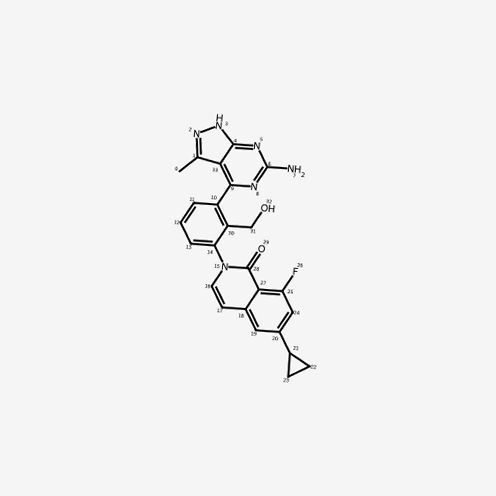 Cc1n[nH]c2nc(N)nc(-c3cccc(-n4ccc5cc(C6CC6)cc(F)c5c4=O)c3CO)c12